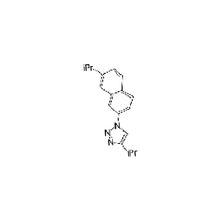 CC(C)c1ccc2ccc(-n3cc(C(C)C)nn3)cc2c1